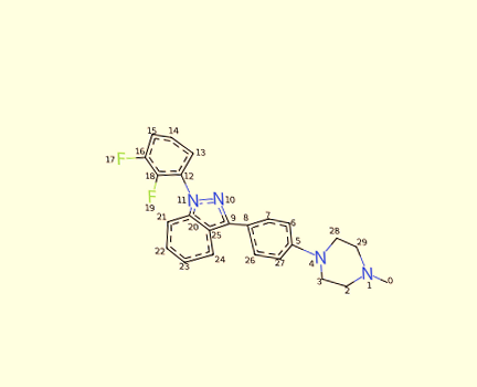 CN1CCN(c2ccc(-c3nn(-c4cccc(F)c4F)c4ccccc34)cc2)CC1